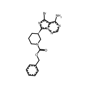 Nc1ncnn2c([C@@H]3CCCN(C(=O)OCc4ccccc4)C3)nc(Br)c12